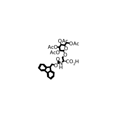 CC(=O)OCC1O[C@@H](OC[C@H](NC(=O)OCC2c3ccccc3-c3ccccc32)C(=O)O)[C@@H](OC(C)=O)C(OC(C)=O)[C@H]1OC(C)=O